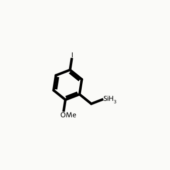 COc1ccc(I)cc1C[SiH3]